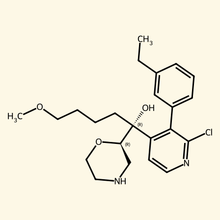 CCc1cccc(-c2c([C@](O)(CCCCOC)[C@H]3CNCCO3)ccnc2Cl)c1